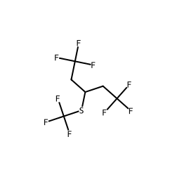 FC(F)(F)CC(CC(F)(F)F)SC(F)(F)F